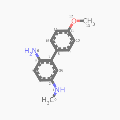 CNc1ccc(N)c(-c2ccc(OC)cc2)c1